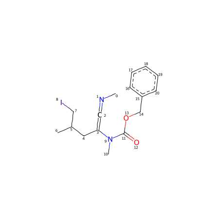 CN=C=C(CC(C)CI)N(C)C(=O)OCc1ccccc1